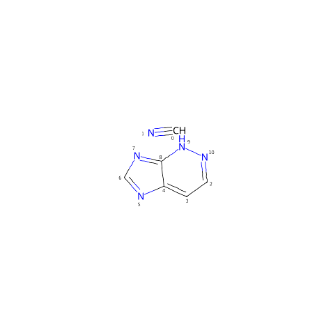 C#N.c1cc2ncnc-2[nH]n1